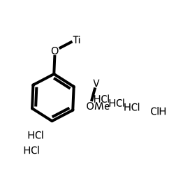 C[O][V].Cl.Cl.Cl.Cl.Cl.Cl.[Ti][O]c1ccccc1